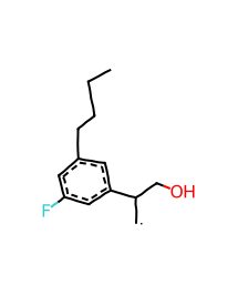 [CH2]C(CO)c1cc(F)cc(CCCC)c1